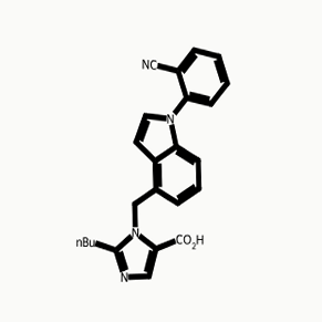 CCCCc1ncc(C(=O)O)n1Cc1cccc2c1ccn2-c1ccccc1C#N